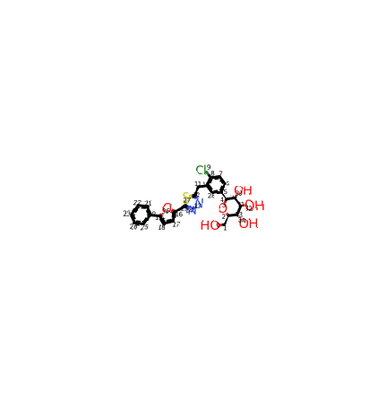 OC[C@H]1O[C@@H](c2ccc(Cl)c(Cc3nnc(-c4ccc(-c5ccccc5)o4)s3)c2)[C@H](O)[C@@H](O)[C@@H]1O